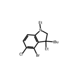 CCN1CC(CC)(C(C)(C)C)c2c1ccc(Cl)c2Br